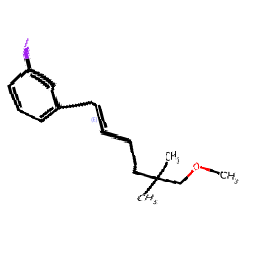 COCC(C)(C)CC/C=C/c1cccc(I)c1